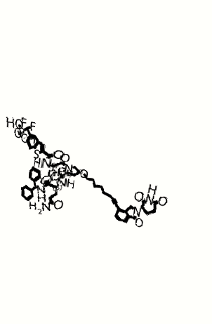 CCCC[C@H](NC(=O)c1cc2cc(C(F)(F)P(=O)(O)O)ccc2s1)C(=O)N1C[C@@H](OCCCCCCC#Cc2cccc3c2CN(C2CCC(=O)NC2=O)C3=O)C[C@H]1C(=O)N[C@@H](CCC(N)=O)C(=O)NC(c1ccccc1)c1ccccc1